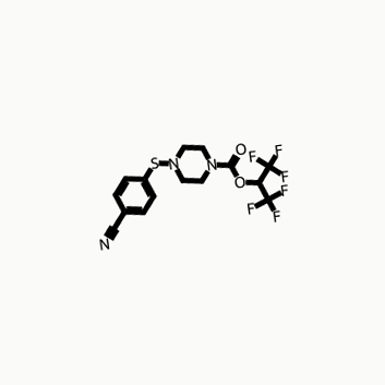 N#Cc1ccc(SN2CCN(C(=O)OC(C(F)(F)F)C(F)(F)F)CC2)cc1